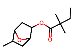 CCC(C)(C)C(=O)OC1CC2OC1CC2C